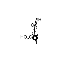 O=C(CCS)OCCOc1c(I)cc(I)cc1C(=O)O